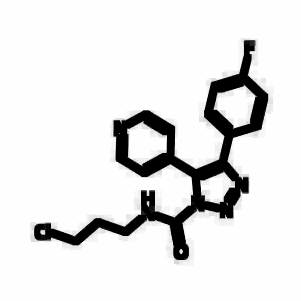 O=C(NCCCCl)n1nnc(-c2ccc(F)cc2)c1-c1ccncc1